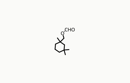 CC1(C)CCCC(C)(COC=O)C1